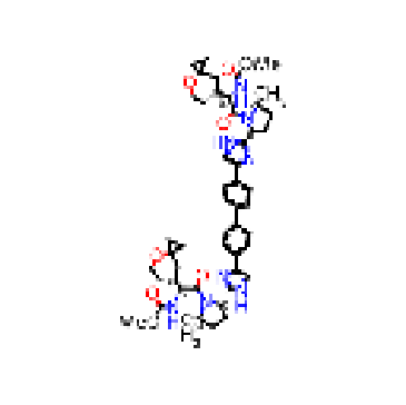 COC(=O)N[C@H](C(=O)N1[C@@H](C)CC[C@H]1c1nc(-c2ccc(-c3ccc(-c4c[nH]c([C@@H]5CC[C@H](C)N5C(=O)[C@@H](NC(=O)OC)[C@@H]5CCOC6(CC6)C5)n4)cc3)cc2)c[nH]1)[C@@H]1CCOC2(CC2)C1